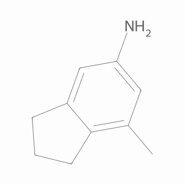 Cc1cc(N)cc2c1CCC2